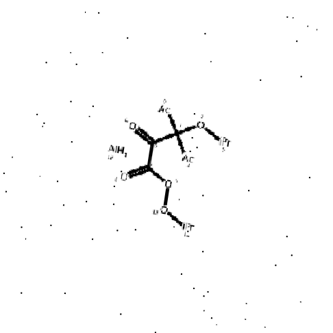 CC(=O)C(OC(C)C)(C(C)=O)C(=O)C(=O)OOC(C)C.[AlH3]